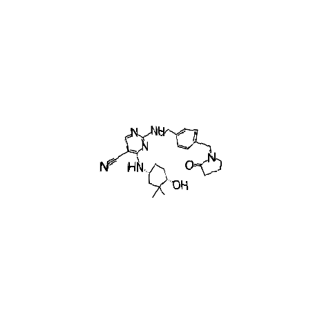 CC1(C)C[C@H](Nc2nc(NCCc3ccc(CN4CCCC4=O)cc3)ncc2C#N)CC[C@@H]1O